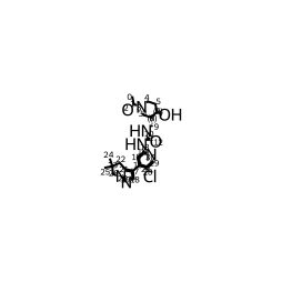 CC(=O)N1CC[C@@H](O)[C@H](CNC(=O)Nc2cc(-c3cnn4c3CC(C)(C)C4)c(Cl)cn2)C1